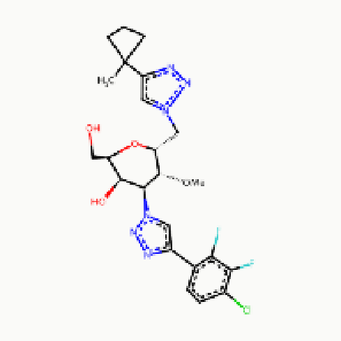 CO[C@@H]1[C@@H](n2cc(-c3ccc(Cl)c(F)c3F)nn2)[C@@H](O)[C@@H](CO)O[C@@H]1Cn1cc(C2(C)CCC2)nn1